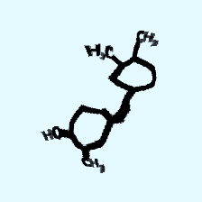 CC1CCC(CC2CCC(O)C(C)C2)CC1C